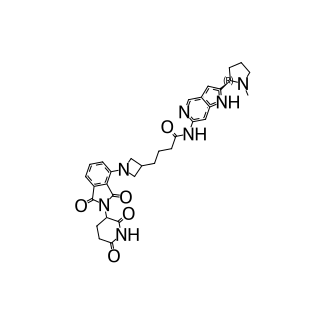 CN1CCC[C@@H]1c1cc2cnc(NC(=O)CCCC3CN(c4cccc5c4C(=O)N(C4CCC(=O)NC4=O)C5=O)C3)cc2[nH]1